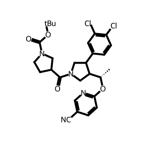 C[C@H](Oc1ccc(C#N)cn1)C1CN(C(=O)C2CCN(C(=O)OC(C)(C)C)C2)CC1c1ccc(Cl)c(Cl)c1